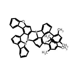 Cc1cc(C)c(-c2cccc3c2c2c(-c4c(C)cc(C)cc4C)ccc4c2n3-c2cc3oc5ccccc5c3c3c2B4n2c4ccccc4c4cccc-3c42)c(C)c1